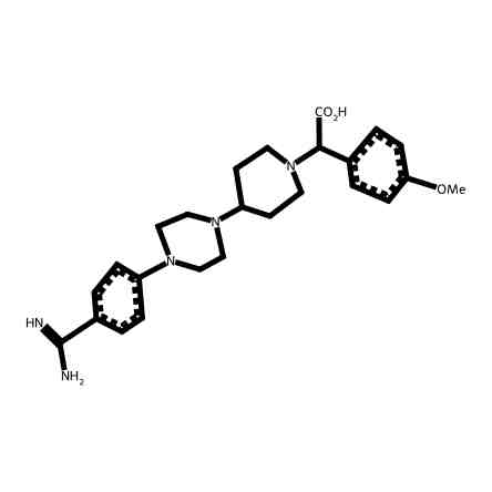 COc1ccc(C(C(=O)O)N2CCC(N3CCN(c4ccc(C(=N)N)cc4)CC3)CC2)cc1